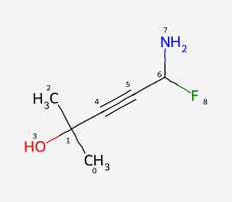 CC(C)(O)C#CC(N)F